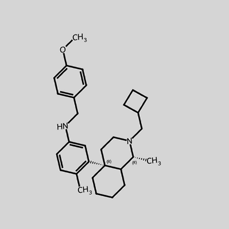 COc1ccc(CNc2ccc(C)c([C@@]34CCCCC3[C@@H](C)N(CC3CCC3)CC4)c2)cc1